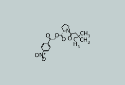 CC(C)(C)CC(=O)N1CCC[C@H]1C(=O)OCC(=O)c1ccc([N+](=O)[O-])cc1